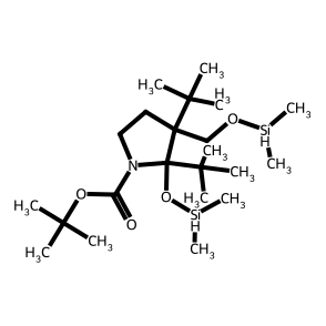 C[SiH](C)OCC1(C(C)(C)C)CCN(C(=O)OC(C)(C)C)C1(O[SiH](C)C)C(C)(C)C